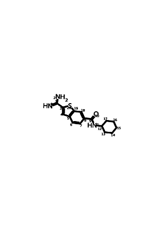 N=C(N)c1cc2ccc(C(=O)NC3CCCCC3)cc2s1